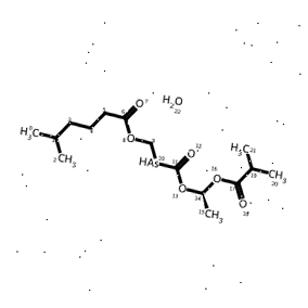 CC(C)CCCC(=O)OC[AsH]C(=O)O[C@H](C)OC(=O)C(C)C.O